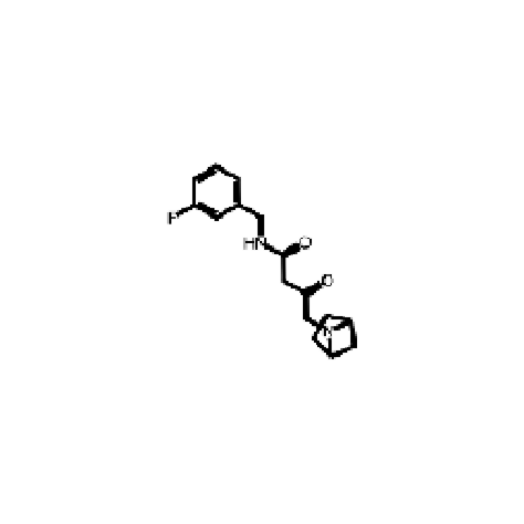 O=C(CC(=O)NCc1cccc(F)c1)CN1C2CCC1C2